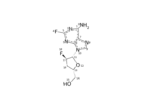 Nc1nc(F)nc2c1ncn2[C@@H]1O[C@H](CO)C[C@H]1F